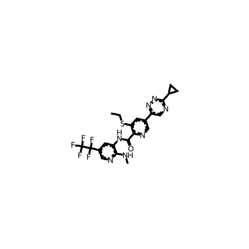 CCSc1cc(-c2cnc(C3CC3)nn2)cnc1C(=O)Nc1cc(C(F)(F)C(F)(F)F)cnc1NC